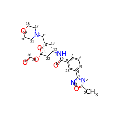 Cc1nc(-c2cccc(C(=O)N[C@@H](CCCN3CCOCC3)CC(=O)OC=O)c2)no1